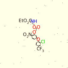 CCOC(=O)NCCOC(=O)COc1cc(Oc2ccc(C(F)(F)F)cc2Cl)ccc1[N+](=O)[O-]